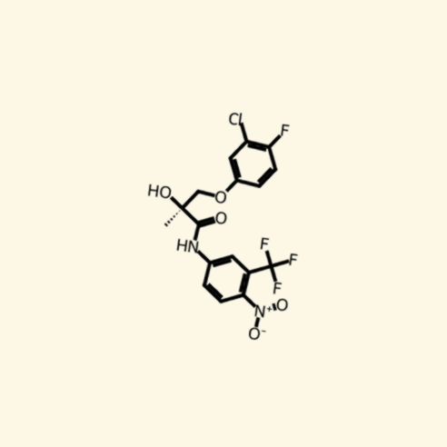 C[C@](O)(COc1ccc(F)c(Cl)c1)C(=O)Nc1ccc([N+](=O)[O-])c(C(F)(F)F)c1